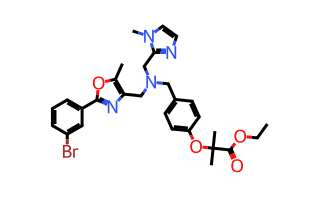 CCOC(=O)C(C)(C)Oc1ccc(CN(Cc2nc(-c3cccc(Br)c3)oc2C)Cc2nccn2C)cc1